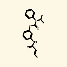 CC=CC(=O)Nc1cccc(OC(=O)N(c2ccccc2)C(C)C)c1